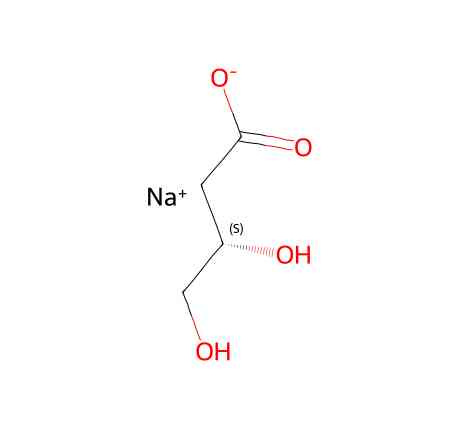 O=C([O-])C[C@H](O)CO.[Na+]